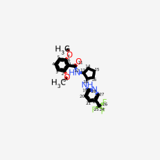 COc1cccc(OC)c1C(=O)NC1CCC[C@@H]1Nc1ccc(C(F)(F)F)cn1